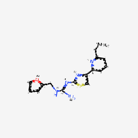 CC(=O)NCc1cccc(-c2csc(/N=C(\N)NCc3ccco3)n2)n1